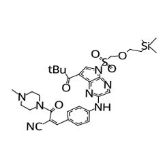 CN1CCN(C(=O)C(C#N)=Cc2ccc(Nc3cnc4c(n3)c(C(=O)C(C)(C)C)cn4S(=O)(=O)COCC[Si](C)(C)C)cc2)CC1